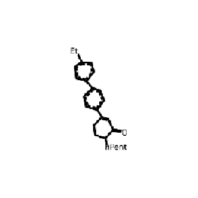 CCCCCC1CCC(c2ccc(-c3ccc(CC)cc3)cc2)=CC1=O